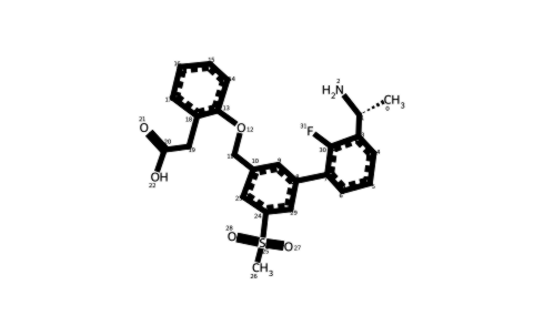 C[C@@H](N)c1cccc(-c2cc(COc3ccccc3CC(=O)O)cc(S(C)(=O)=O)c2)c1F